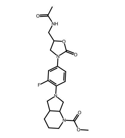 COC(=O)N1CCCC2CN(c3ccc(N4CC(CNC(C)=O)OC4=O)cc3F)CC21